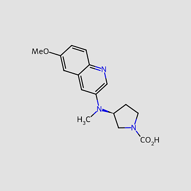 COc1ccc2ncc(N(C)[C@H]3CCN(C(=O)O)C3)cc2c1